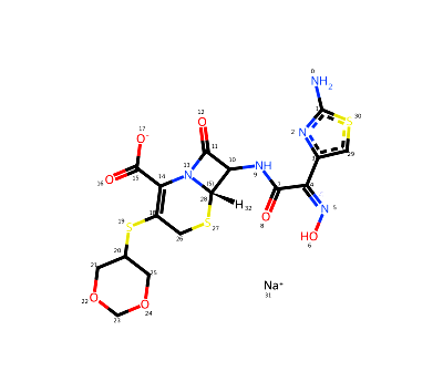 Nc1nc(/C(=N/O)C(=O)NC2C(=O)N3C(C(=O)[O-])=C(SC4COCOC4)CS[C@@H]23)cs1.[Na+]